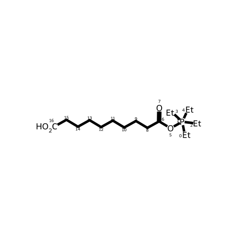 CCP(CC)(CC)(CC)OC(=O)CCCCCCCCC(=O)O